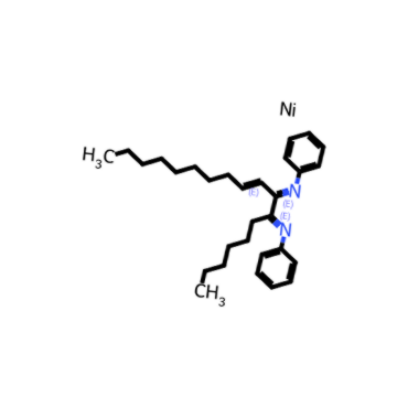 CCCCCCCC/C=C/C(=N\c1ccccc1)C(/CCCCCC)=N/c1ccccc1.[Ni]